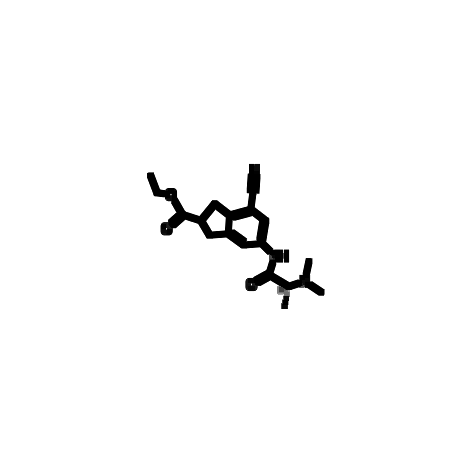 CCOC(=O)C1Cc2cc(NC(=O)[C@@H](C)N(C)C)cc(C#N)c2C1